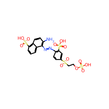 Nc1ccc2c(S(=O)(=O)O)cccc2c1/N=N/c1ccc(S(=O)(=O)CCOS(=O)(=O)O)cc1S(=O)(=O)O